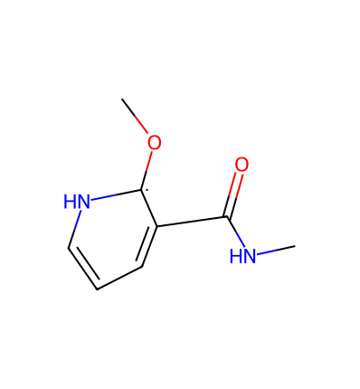 CNC(=O)C1=CC=CN[C]1OC